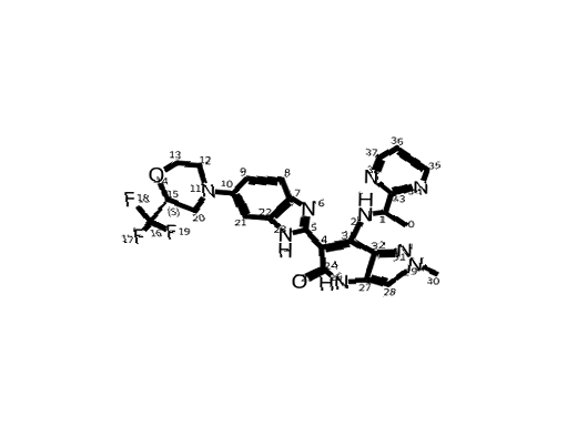 CC(Nc1c(-c2nc3ccc(N4CCO[C@H](C(F)(F)F)C4)cc3[nH]2)c(=O)[nH]c2cn(C)nc12)c1ncccn1